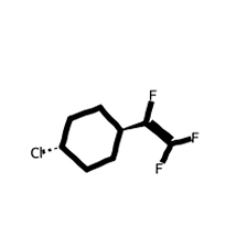 FC(F)=C(F)[C@H]1CC[C@H](Cl)CC1